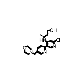 C[C@@H](CCO)Nc1cc(Cl)ncc1-c1ccc(CN2CCOCC2)cn1